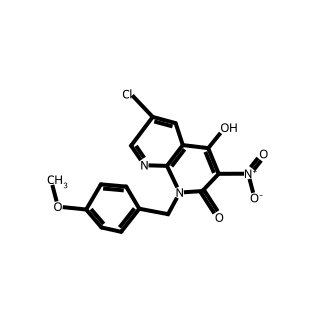 COc1ccc(Cn2c(=O)c([N+](=O)[O-])c(O)c3cc(Cl)cnc32)cc1